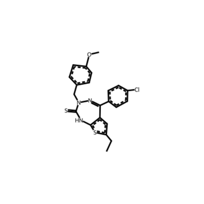 CCc1cc2c(s1)NC(=S)N(Cc1ccc(OC)cc1)N=C2c1ccc(Cl)cc1